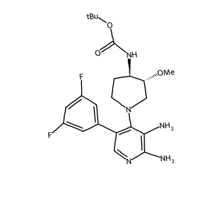 CO[C@@H]1CN(c2c(-c3cc(F)cc(F)c3)cnc(N)c2N)CC[C@H]1NC(=O)OC(C)(C)C